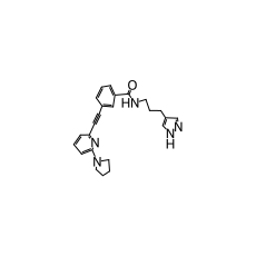 O=C(NCCCc1cn[nH]c1)c1cccc(C#Cc2cccc(N3CCCC3)n2)c1